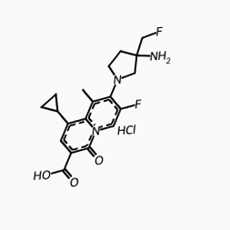 Cc1c(N2CCC(N)(CF)C2)c(F)cn2c(=O)c(C(=O)O)cc(C3CC3)c12.Cl